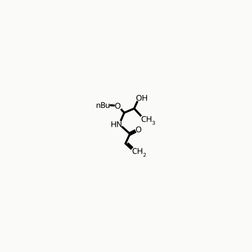 C=CC(=O)NC(OCCCC)C(C)O